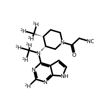 [2H]c1nc(N([C@H]2CN(C(=O)C[N+]#[C-])CC[C@H]2C([2H])([2H])[2H])C([2H])([2H])[2H])c2cc[nH]c2n1